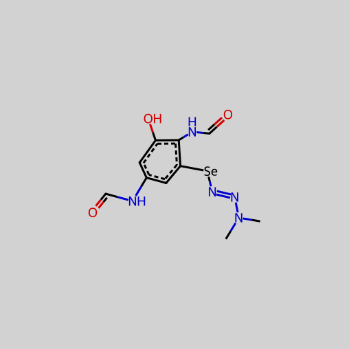 CN(C)N=N[Se]c1cc(NC=O)cc(O)c1NC=O